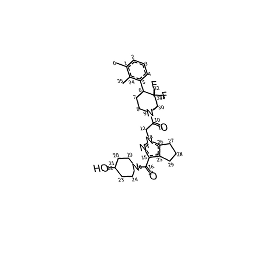 Cc1cccc(C2CCN(C(=O)Cn3nc(C(=O)N4CCC(O)CC4)c4c3CCC4)CC2(F)F)c1C